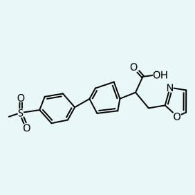 CS(=O)(=O)c1ccc(-c2ccc(C(Cc3ncco3)C(=O)O)cc2)cc1